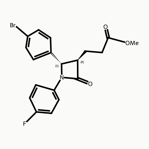 COC(=O)CC[C@H]1C(=O)N(c2ccc(F)cc2)[C@@H]1c1ccc(Br)cc1